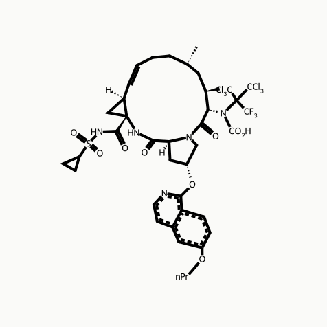 CCCOc1ccc2c(O[C@@H]3C[C@H]4C(=O)N[C@]5(C(=O)NS(=O)(=O)C6CC6)C[C@H]5/C=C\CC[C@H](C)C[C@@H](C)[C@H](N(C(=O)O)C(C(F)(F)F)(C(Cl)(Cl)Cl)C(Cl)(Cl)Cl)C(=O)N4C3)nccc2c1